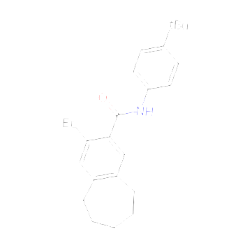 CCc1cc2c(cc1C(=O)Nc1ccc(C(C)(C)C)cc1)CCCCC2